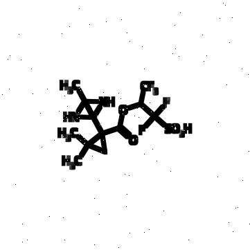 CC1(C)CC1(C(=O)OC(C(F)(F)F)C(F)(F)S(=O)(=O)O)C12NC1(C)N2